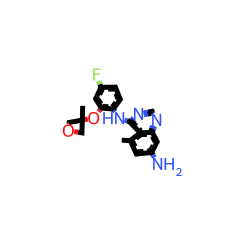 Cc1cc(N)cc2ncnc(Nc3ccc(F)cc3OC3(C)COC3)c12